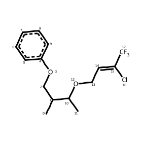 CC(COc1ccccc1)C(C)OC/C=C(\Cl)C(F)(F)F